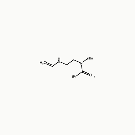 C=CNCCN(CCCC)C(=C)C(C)C